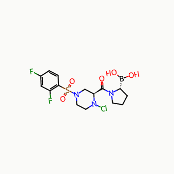 O=C([C@@H]1CN(S(=O)(=O)c2ccc(F)cc2F)CCN1Cl)N1CCC[C@H]1B(O)O